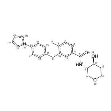 Cc1cnc(C(=O)N[C@H]2COCC[C@@H]2O)cc1Cc1ccc(-n2cccn2)cc1